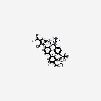 Cc1nc(C(F)F)c(Cl)n1-c1ccc(-c2cc(F)c(CO)c([S+](C)[O-])c2)cc1N(N)/C(=C\N)c1ccc(OC(F)(F)F)cc1